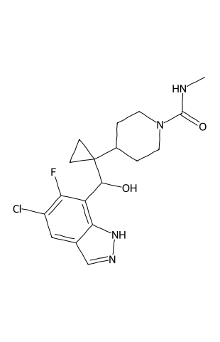 CNC(=O)N1CCC(C2(C(O)c3c(F)c(Cl)cc4cn[nH]c34)CC2)CC1